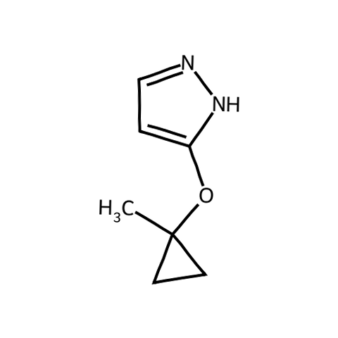 CC1(Oc2ccn[nH]2)CC1